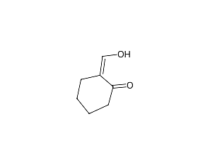 O=C1CCCCC1=CO